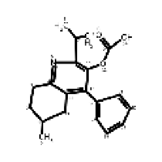 CC1CCc2nc(C(C)C)c(OC(=O)O)c(-c3ccccc3)c2C1